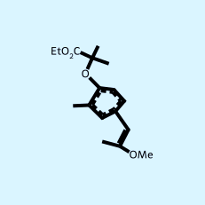 CCOC(=O)C(C)(C)Oc1ccc(C=C(C)OC)cc1C